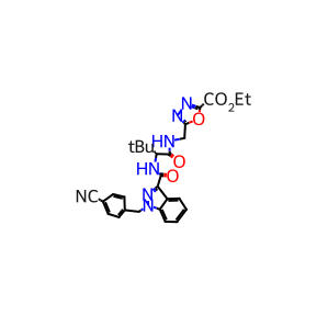 CCOC(=O)c1nnc(CNC(=O)[C@@H](NC(=O)c2nn(Cc3ccc(C#N)cc3)c3ccccc23)C(C)(C)C)o1